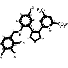 CCOC(=O)c1cc(C(F)(F)F)cc(C2=C(c3cc(Cl)ccc3OCc3ccc(F)c(F)c3F)CCC2)n1